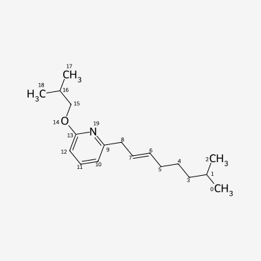 CC(C)CCCC=CCc1cccc(OCC(C)C)n1